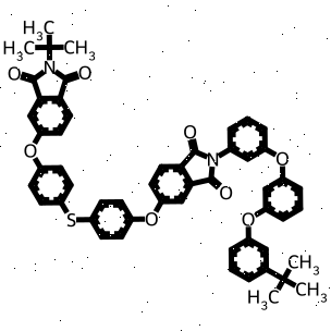 CC(C)(C)c1cccc(Oc2cccc(Oc3cccc(N4C(=O)c5ccc(Oc6ccc(Sc7ccc(Oc8ccc9c(c8)C(=O)N(C(C)(C)C)C9=O)cc7)cc6)cc5C4=O)c3)c2)c1